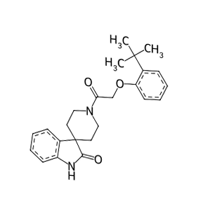 CC(C)(C)c1ccccc1OCC(=O)N1CCC2(CC1)C(=O)Nc1ccccc12